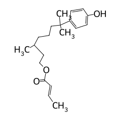 CC=CC(=O)OCCC(C)CCCC(C)(C)c1ccc(O)cc1